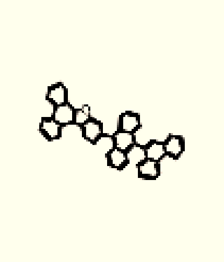 c1ccc2c(c1)cc(-c1c3ccccc3c(-c3ccc4c(c3)oc3c5ccccc5c5ccccc5c43)c3ccccc13)c1ccccc12